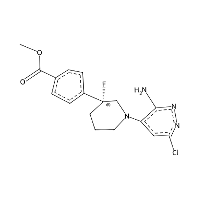 COC(=O)c1ccc([C@]2(F)CCCN(c3cc(Cl)nnc3N)C2)cc1